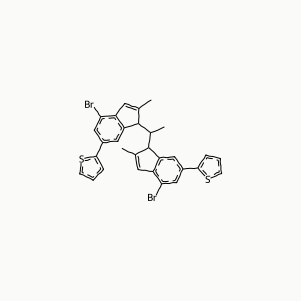 CC1=Cc2c(Br)cc(-c3cccs3)cc2C1C(C)C1C(C)=Cc2c(Br)cc(-c3cccs3)cc21